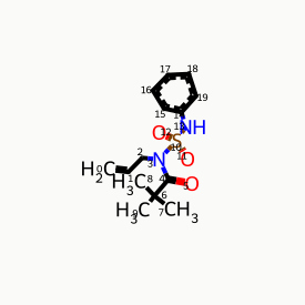 C=CCN(C(=O)C(C)(C)C)S(=O)(=O)Nc1ccccc1